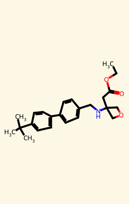 CCOC(=O)CC1(NCc2ccc(-c3ccc(C(C)(C)C)cc3)cc2)COC1